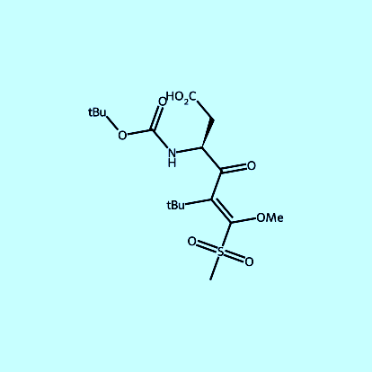 COC(=C(C(=O)[C@H](CC(=O)O)NC(=O)OC(C)(C)C)C(C)(C)C)S(C)(=O)=O